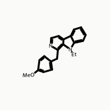 CCn1c2ccccc2c2ccnc(Cc3ccc(OC)cc3)c21